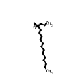 CCCCCCCCCCCCCC1(CCC)CO1